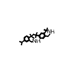 CC(C)c1ccc2c(c1)CNCC2(C)CC(C)(C)c1ccc2c(c1)C(C)(C)NCC2